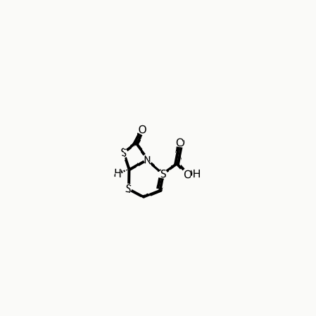 O=C1S[C@@H]2SCC=S(C(=O)O)N12